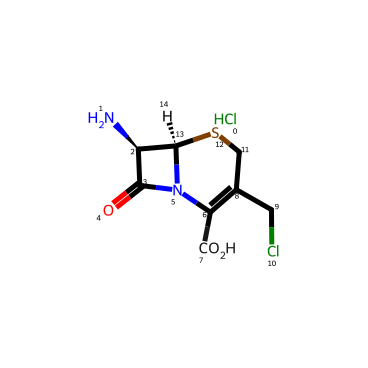 Cl.N[C@@H]1C(=O)N2C(C(=O)O)=C(CCl)CS[C@H]12